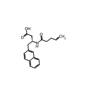 C=CCCC(=O)N[C@H](CC(=O)O)Cc1ccc2ccccc2c1